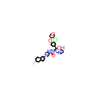 O=C(N[C@H](CN1CCCC1)[C@H](O)c1ccc(OC2CCOCC2)c(Cl)c1)[C@H]1CCN(c2ccc3cc(F)ccc3c2)C1